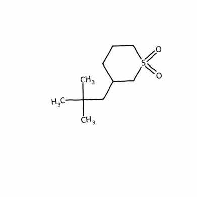 CC(C)(C)CC1CCCS(=O)(=O)C1